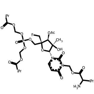 CC(=O)O[C@@H]1[C@@](CF)(COP(=O)(OCOC(=O)C(C)C)OCOC(=O)C(C)C)O[C@@H](n2ccc(=O)n(COC(=O)C(N)C(C)C)c2=O)[C@]1(C)O